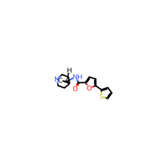 O=C(N[C@H]1CN2CCC1CC2)c1ccc(-c2cccs2)o1